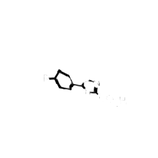 O=C(O)c1nsc(-c2ccc(F)cc2)n1